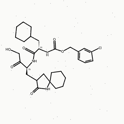 O=C(N[C@@H](CC1CCCCC1)C(=O)N[C@@H](CC1CC2(CCCCC2)NC1=O)C(=O)CO)OCc1cccc(Cl)c1